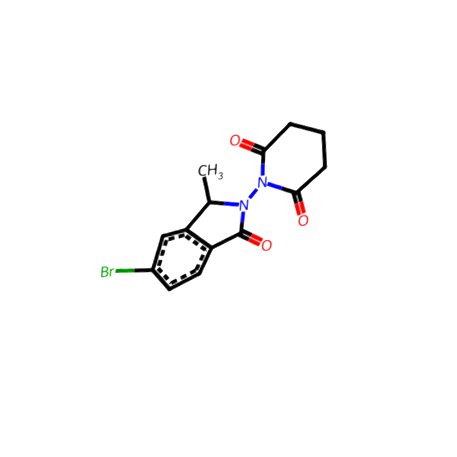 CC1c2cc(Br)ccc2C(=O)N1N1C(=O)CCCC1=O